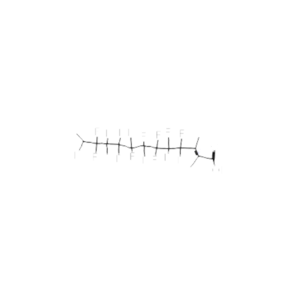 C/C(C(=O)O)=C(/C)C(F)(F)C(F)(F)C(F)(F)C(F)(F)C(F)(F)C(F)(F)C(F)(F)C(F)(F)C(C)F